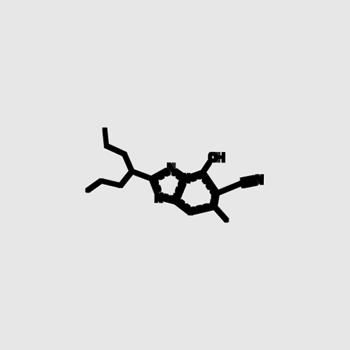 CCCC(CCC)c1nc2cc(C)c(C#N)c(O)n2n1